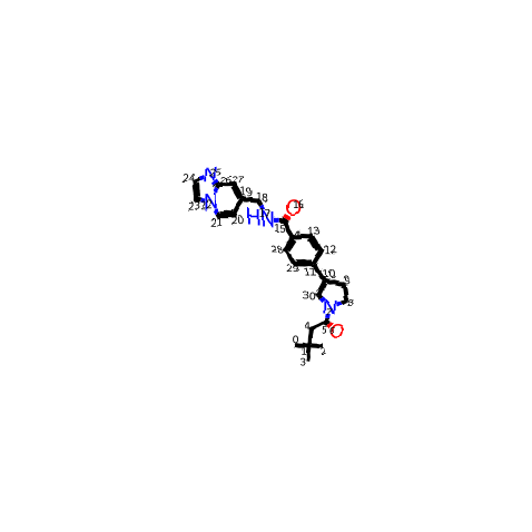 CC(C)(C)CC(=O)N1CCC(c2ccc(C(=O)NCc3ccn4ccnc4c3)cc2)C1